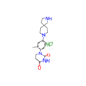 Cc1cc(N2CCC3(CCNC3)CC2)ccc1N1CCC(=O)NC1=O.Cl